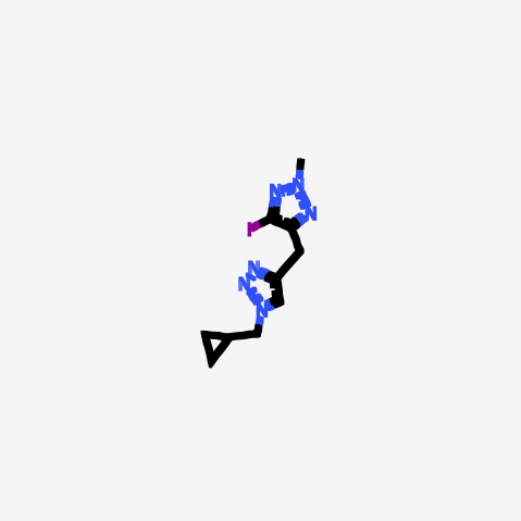 Cn1nc(I)c(Cc2cn(CC3CC3)nn2)n1